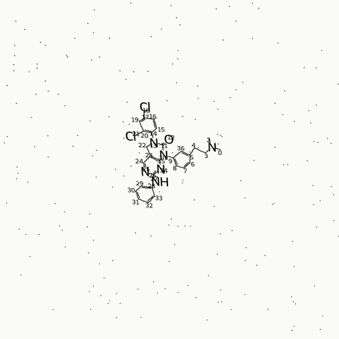 CN(C)CCc1cccc(N2C(=O)N(c3ccc(Cl)cc3Cl)Cc3cnc(Nc4ccccc4)nc32)c1